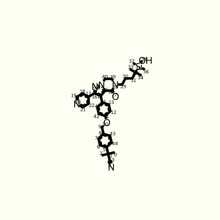 CC(C)(C#N)c1ccc(COc2ccc(-c3c(-c4ccncc4)nn4c3C(=O)N(CCCC(C)(C)[Si](C)(C)O)CC4)cc2)cc1